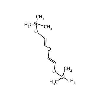 C[Si](C)(C)OC=COC=CO[Si](C)(C)C